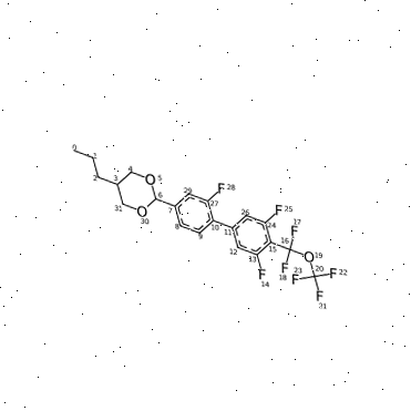 CCCC1COC(c2ccc(-c3cc(F)c(C(F)(F)OC(F)(F)F)c(F)c3)c(F)c2)OC1